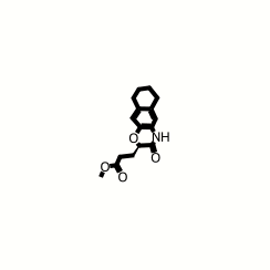 COC(=O)CC[C@H]1Oc2cc3c(cc2NC1=O)CCCC3